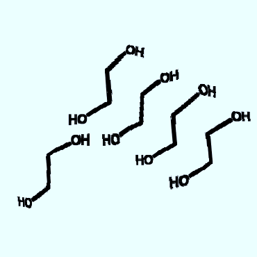 OCCO.OCCO.OCCO.OCCO.OCCO